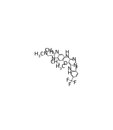 COc1cc(N(C)CCN(C)C)c(N)cc1Nc1cc(Nc2cc(C(F)(F)F)ccc2F)ncn1